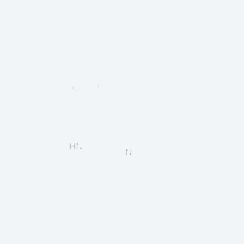 O=C=C1CC=CC=C1C1CNCC[N]1